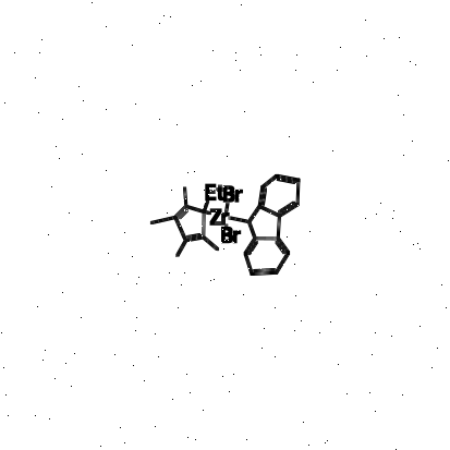 CC[C]1([Zr]([Br])([Br])[CH]2c3ccccc3-c3ccccc32)C(C)=C(C)C(C)=C1C